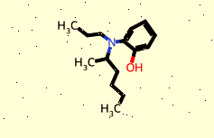 CCCCC(C)N(CCC)c1ccccc1O